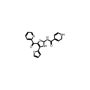 O=C(NC1NC(c2ccco2)=C(C(=O)c2ccccn2)S1)C1=CCNC=C1